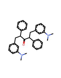 CN(C)c1cccc(CC(C(=O)C(Cc2cccc(N(C)C)c2)c2ccccc2)c2ccccc2)c1